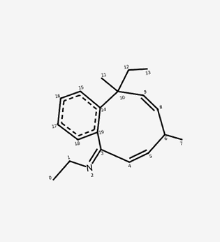 CC/N=C1/C=C\C(C)C=CC(C)(CC)c2ccccc21